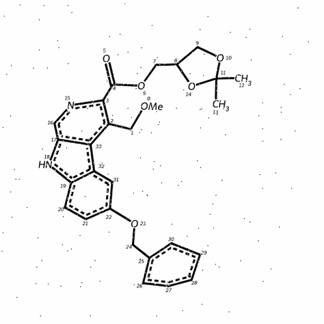 COCc1c(C(=O)OCC2COC(C)(C)O2)ncc2[nH]c3ccc(OCc4ccccc4)cc3c12